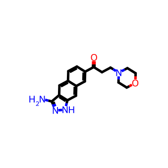 Nc1n[nH]c2cc3cc(C(=O)CCN4CCOCC4)ccc3cc12